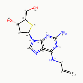 C=CCNc1nc(N)nc2c1ncn2[C@H]1C[C@H](O)[C@@H](CO)S1